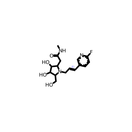 CNC(=O)CC1C(O)C(O)C(CO)N1C/C=C/c1ccc(F)nc1